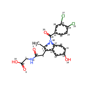 Cc1c(CC(=O)NCC(=O)O)c2cc(O)ccc2n1C(=O)c1ccc(Cl)c(Cl)c1